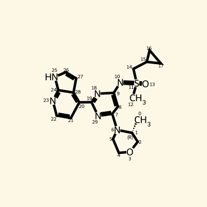 C[C@@H]1COCCN1c1cc(N=S(C)(=O)CC2CC2)nc(-c2ccnc3[nH]ccc23)n1